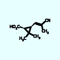 CC(C#N)=C[C@H]1[C@@H](C(=O)O)C1(C)C